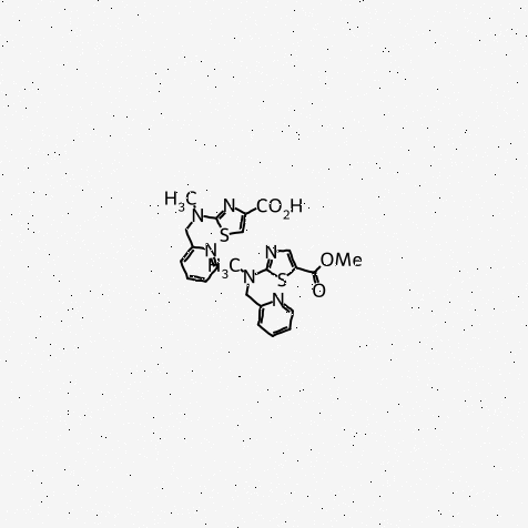 CN(Cc1ccccn1)c1nc(C(=O)O)cs1.COC(=O)c1cnc(N(C)Cc2ccccn2)s1